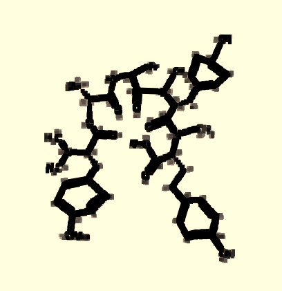 CC[C@@H](C)[C@H](OC(=O)[C@H](Cc1ccc(OC)cc1)N(C)C)C(=O)NC(C(=O)N(C)[C@H](Cc1ccc(O)cc1)C(=O)N(C)[C@H](CCc1ccc(O)cc1)C(=O)OC)C(C)C